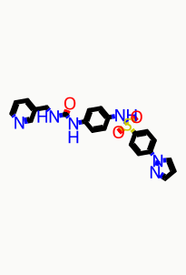 O=C(NCc1cccnc1)Nc1ccc(NS(=O)(=O)c2ccc(-n3cccn3)cc2)cc1